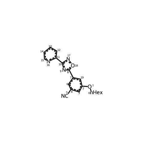 CCCCCCOc1cc(C#N)cc(-c2nc(-c3ccccn3)no2)c1